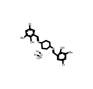 CC(=O)[O-].CC(=O)[O-].CCc1cc(C=NC2CCC(N=Cc3cc(CC)cc(C(C)(C)C)c3O)CC2)c(O)c(C(C)(C)C)c1.[Co+2]